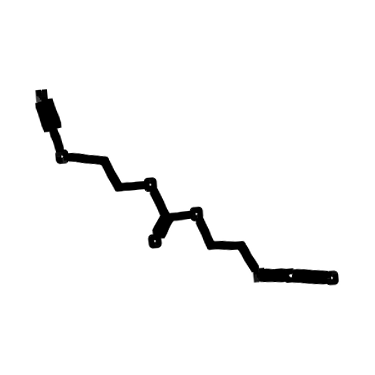 N#COCCOC(=O)OCCN=C=O